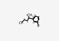 CC(CCCl)c1cccc(F)c1